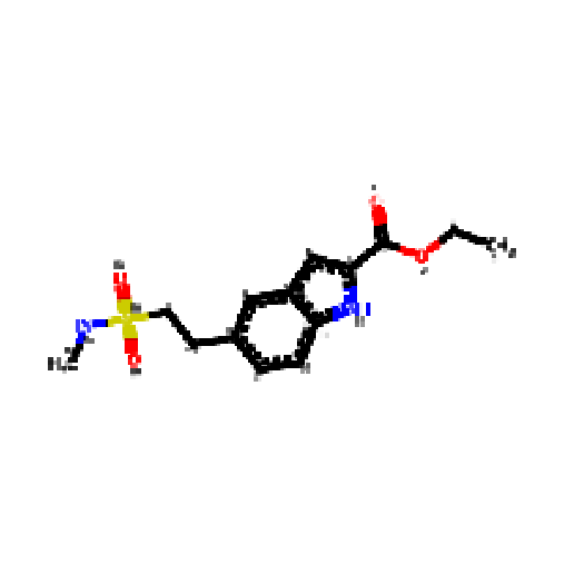 CCOC(=O)c1cc2cc(CCS(=O)(=O)NC)ccc2[nH]1